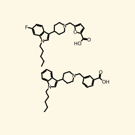 CCCCCn1cc(C2CCN(Cc3ccc(C(=O)O)o3)CC2)c2ccc(F)cc21.CCCCCn1cc(C2CCN(Cc3cccc(C(=O)O)c3)CC2)c2ccccc21